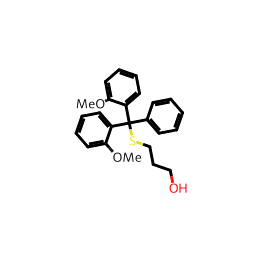 COc1ccccc1C(SCCCO)(c1ccccc1)c1ccccc1OC